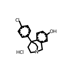 Cl.Oc1ccc2c(c1)CN1CCC2(c2ccc(Cl)cc2)CC1